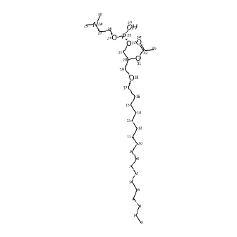 CCCCCCCCCCCCCCCCCCOCC(COP(O)OCCN(C)C)OC(C)=O